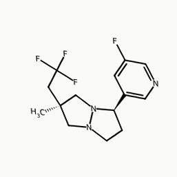 C[C@@]1(CC(F)(F)F)CN2CC[C@H](c3cncc(F)c3)N2C1